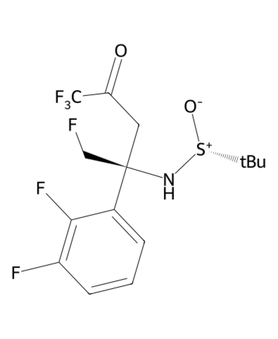 CC(C)(C)[S@@+]([O-])N[C@@](CF)(CC(=O)C(F)(F)F)c1cccc(F)c1F